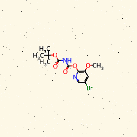 COc1cc(Br)cnc1OC(=O)NC(=O)OC(C)(C)C